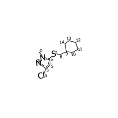 Cn1nc(Cl)cc1SCC1CCCCC1